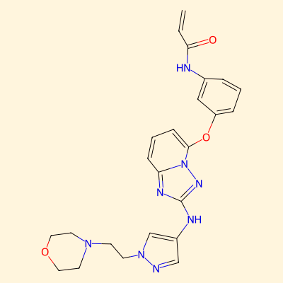 C=CC(=O)Nc1cccc(Oc2cccc3nc(Nc4cnn(CCN5CCOCC5)c4)nn23)c1